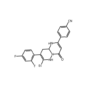 CCC1=C(c2ccc(F)cc2F)CC2NC(c3ccc(C#N)cc3)=CC(=O)N2N1